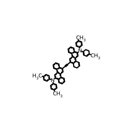 CC1=CC=C(N(c2ccc(C)cc2)c2cc3c4c(c(C#Cc5cc6c7ccccc7c(N(c7ccc(C)cc7)c7ccc(C)cc7)cc6c6ccccc56)cc3c3ccccc23)CCC=C4)CC1